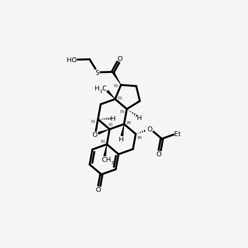 CCC(=O)O[C@@H]1CC2=CC(=O)C=C[C@]2(C)[C@]23O[C@H]2C[C@]2(C)[C@@H](C(=O)SCO)CC[C@H]2[C@H]13